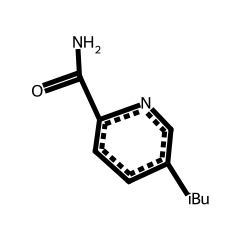 CCC(C)c1ccc(C(N)=O)nc1